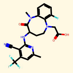 Cc1cc(C(F)(F)F)c(C#N)c(NC2CCN(CC(=O)O)c3c(F)cccc3N(C)C2=O)n1